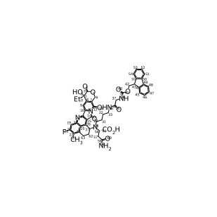 CC[C@@]1(O)C(=O)OCc2c1cc1n(c2=O)Cc2c-1nc1cc(F)c(C)c3c1c2[C@@H](N(C(=O)CCCNC(=O)CNC(=O)OCC1c2ccccc2-c2ccccc21)[C@@H](CC(N)=O)C(=O)O)CC3